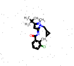 Cc1c(Cl)cccc1C(=O)/N=c1\cc(C(C)(C)C)n(C)n1CC1CC1